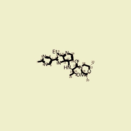 CCn1c(-c2cnc(C)nc2)nc2c(N[C@H](C(=O)N3C[C@@H](C)O[C@@H](C)C3)[C@H](C)OC)ccnc21